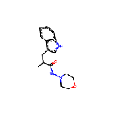 CC(Cc1c[nH]c2ccccc12)C(=O)NN1CCOCC1